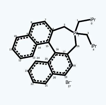 CC(C)C[P+]1(CC(C)C)Cc2ccc3ccccc3c2-c2c(ccc3ccccc23)C1.[Br-]